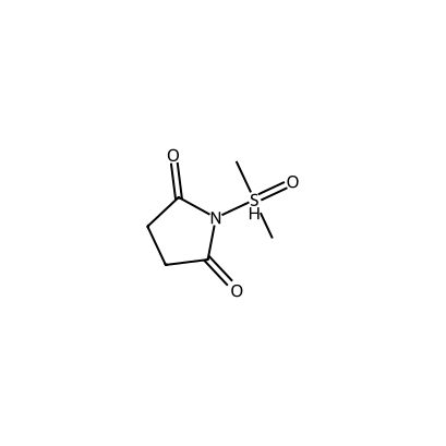 C[SH](C)(=O)N1C(=O)CCC1=O